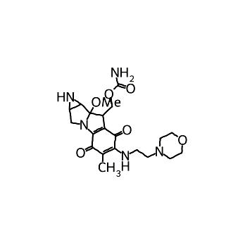 COC12C(COC(N)=O)C3=C(C(=O)C(C)=C(NCCN4CCOCC4)C3=O)N1CC1NC12